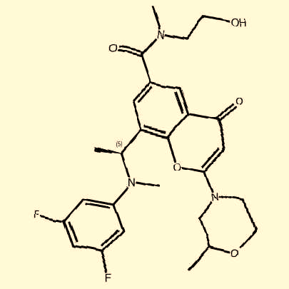 CC1CN(c2cc(=O)c3cc(C(=O)N(C)CCO)cc([C@H](C)N(C)c4cc(F)cc(F)c4)c3o2)CCO1